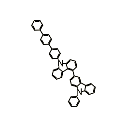 c1ccc(-c2ccc(-c3ccc(-n4c5ccccc5c5c(-c6ccc7c(c6)c6ccccc6n7-c6ccccc6)cccc54)cc3)cc2)cc1